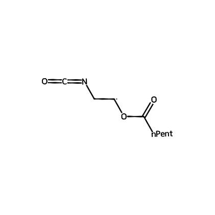 CCCCCC(=O)O[CH]CN=C=O